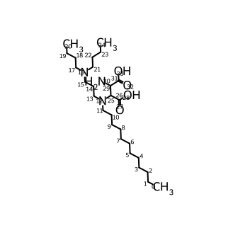 CCCCCCCCCCCCN(CCCN(CCCC)CCCC)C(C(=O)O)C(N)C(=O)O